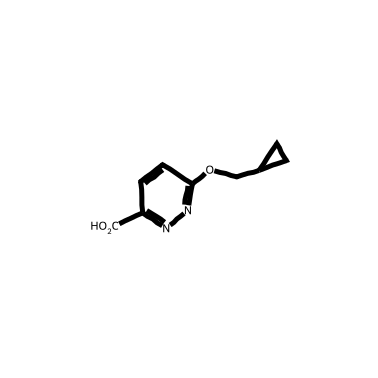 O=C(O)c1ccc(OCC2CC2)nn1